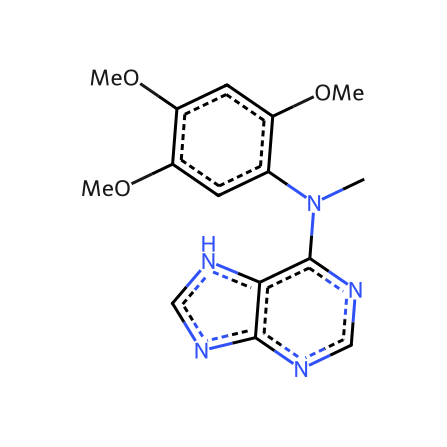 COc1cc(OC)c(N(C)c2ncnc3nc[nH]c23)cc1OC